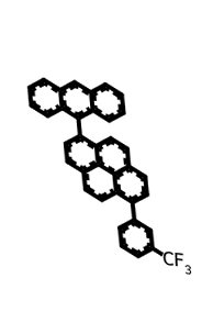 FC(F)(F)c1cccc(-c2ccc3ccc4c(-c5c6ccccc6cc6ccccc56)ccc5ccc2c3c54)c1